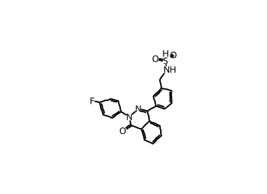 O=c1c2ccccc2c(-c2cccc(CN[SH](=O)=O)c2)nn1-c1ccc(F)cc1